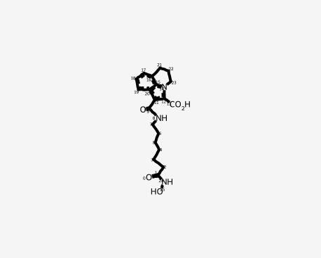 O=C(CCCCCCNC(=O)c1c(C(=O)O)n2c3c(cccc13)CCC2)NO